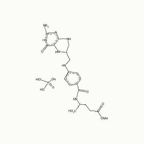 COC(=O)CCC(NC(=O)c1ccc(NCC2CNc3nc(N)[nH]c(=O)c3N2)cc1)C(=O)O.O=P(O)(O)O